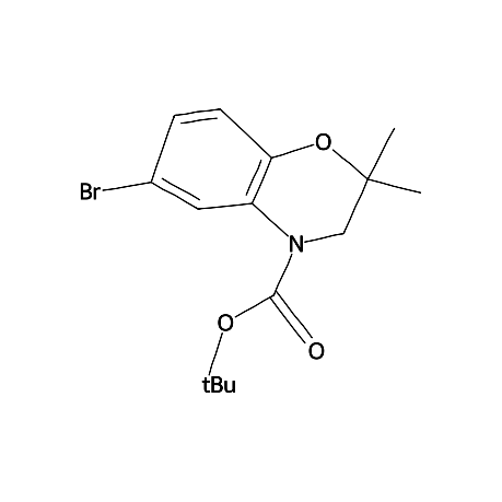 CC(C)(C)OC(=O)N1CC(C)(C)Oc2ccc(Br)cc21